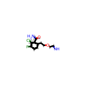 N=[C]COCCc1ccc(F)c(Cl)c1C(N)=O